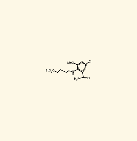 CCOC(=O)CCCCNc1c(OC)nc(Cl)nc1C(=N)P